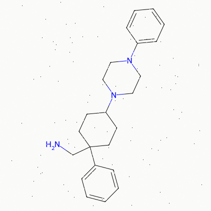 NCC1(c2ccccc2)CCC(N2CCN(c3ccccc3)CC2)CC1